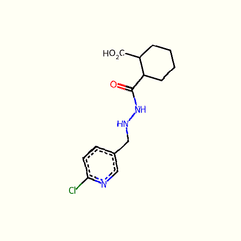 O=C(O)C1CCCCC1C(=O)NNCc1ccc(Cl)nc1